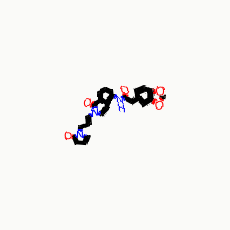 O=C(Cc1ccc2c(c1)OCO2)Nc1cccc2c(=O)n(CCCN3CCCC3=O)ccc12